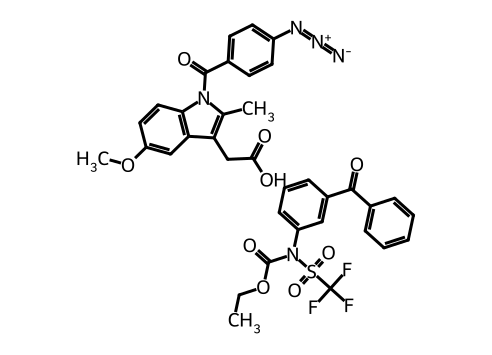 CCOC(=O)N(c1cccc(C(=O)c2ccccc2)c1)S(=O)(=O)C(F)(F)F.COc1ccc2c(c1)c(CC(=O)O)c(C)n2C(=O)c1ccc(N=[N+]=[N-])cc1